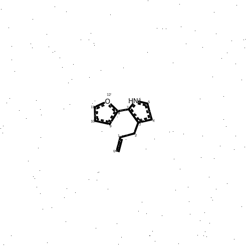 C=CCc1cc[nH]c1-c1ccco1